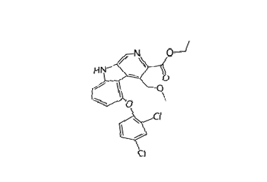 CCOC(=O)c1ncc2[nH]c3cccc(Oc4ccc(Cl)cc4Cl)c3c2c1COC